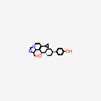 CC1N=CN2C=CC(C3CC3)=C([C@H](O)[C@H]3CC[C@H](c4ccc(O)cc4)CC3)C12